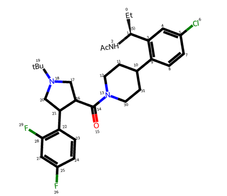 CC[C@H](NC(C)=O)c1cc(Cl)ccc1C1CCN(C(=O)C2CN(C(C)(C)C)CC2c2ccc(F)cc2F)CC1